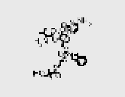 CC(C)[C@H](N)C(=O)O[C@@H]1C(COP(=O)(NCc2ccccc2)OCCSC(=O)C(C)(C)CO)O[C@@H](n2ccc(N)nc2=O)[C@]1(C)O